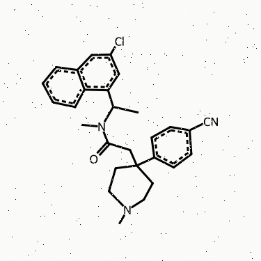 CC(c1cc(Cl)cc2ccccc12)N(C)C(=O)CC1(c2ccc(C#N)cc2)CCN(C)CC1